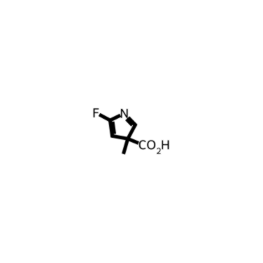 CC1(C(=O)O)C=NC(F)=C1